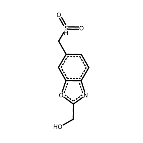 O=[SH](=O)Cc1ccc2nc(CO)oc2c1